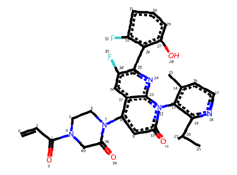 C=CC(=O)N1CCN(c2cc(=O)n(-c3c(C)ccnc3C(C)C)c3nc(-c4c(O)cccc4F)c(F)cc23)C(=O)C1